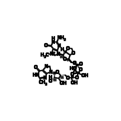 Cc1nc2c(ncn2[C@@H]2O[C@H](COP(=O)(O)OP(=O)(O)OP(=O)(O)OC[C@H]3O[C@@H](n4c[n+](C)c5c(=O)[nH]c(N)nc54)[C@H]4OCOC34)C(O)[C@@H]2O)c(=O)[nH]1